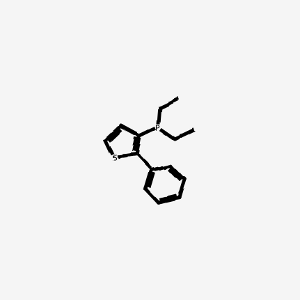 CCP(CC)c1ccsc1-c1ccccc1